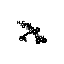 COC(=O)CCCCOc1cc(OCc2cccc(-c3ccccc3)c2C)c2c(c1CNCCNC(C)=O)CCC2